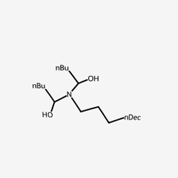 CCCCCCCCCCCCCN(C(O)CCCC)C(O)CCCC